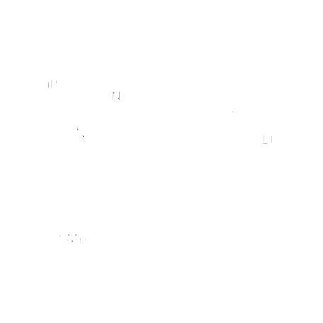 CCSCCc1cc(CCSC)nc(C(C)C)n1